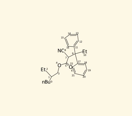 CCCCC(CC)COC(=O)C(C#N)C(CC)(c1ccccc1)c1ccccc1